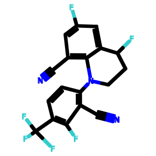 N#Cc1cc(F)cc2c1N(c1ccc(C(F)(F)F)c(F)c1C#N)CCC2F